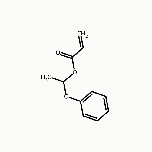 C=CC(=O)OC(C)Oc1cc[c]cc1